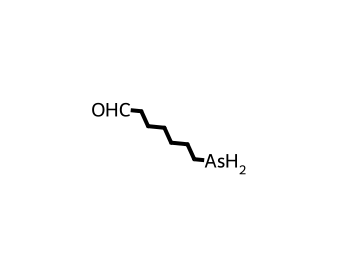 O=CCCCCCC[AsH2]